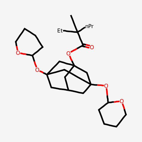 CCCC(C)(CC)C(=O)OC12CC3CC(OC4CCCCO4)(C1)CC(OC1CCCCO1)(C3)C2